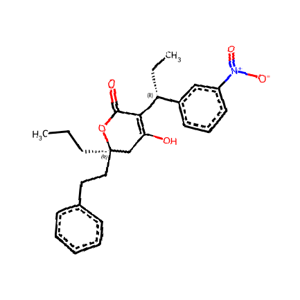 CCC[C@@]1(CCc2ccccc2)CC(O)=C([C@H](CC)c2cccc([N+](=O)[O-])c2)C(=O)O1